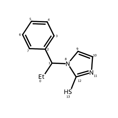 CCC(c1ccccc1)n1ccnc1S